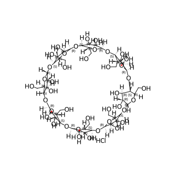 Cl.OC[C@H]1O[C@@H]2O[C@H]3[C@H](O)[C@@H](O)[C@@H](O[C@H]4[C@H](O)[C@@H](O)[C@@H](O[C@H]5[C@H](O)[C@@H](O)[C@@H](O[C@H]6[C@H](O)[C@@H](O)[C@@H](O[C@H]7[C@H](O)[C@@H](O)[C@@H](O[C@H]8[C@H](O)[C@@H](O)[C@@H](O[C@H]9[C@H](O)[C@@H](O)[C@@H](O[C@H]1[C@H](O)[C@H]2O)O[C@@H]9CO)O[C@@H]8CO)O[C@@H]7CO)O[C@@H]6CO)O[C@@H]5CO)O[C@@H]4CO)O[C@@H]3CO